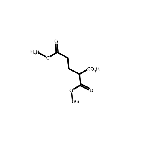 CC(C)(C)OC(=O)C(CCC(=O)ON)C(=O)O